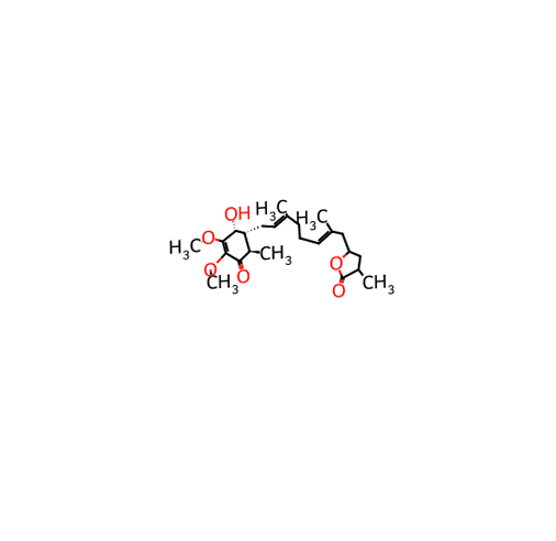 COC1=C(OC)[C@H](O)[C@H](C/C=C(\C)CC/C=C(\C)CC2CC(C)C(=O)O2)[C@@H](C)C1=O